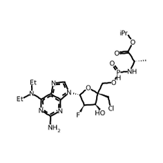 CCN(CC)c1nc(N)nc2c1ncn2[C@@H]1O[C@](CCl)(CO[PH](=O)N[C@@H](C)C(=O)OC(C)C)[C@@H](O)[C@H]1F